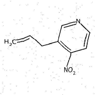 C=CCc1cnccc1[N+](=O)[O-]